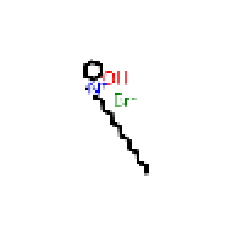 CCCCCCCCCCCCC[N+](C)(C)C1CCCCC1O.[Br-]